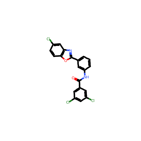 O=C(Nc1cccc(-c2nc3cc(Cl)ccc3o2)c1)c1cc(Cl)cc(Cl)c1